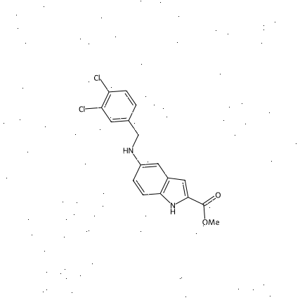 COC(=O)c1cc2cc(NCc3ccc(Cl)c(Cl)c3)ccc2[nH]1